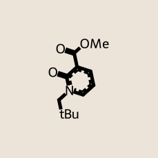 COC(=O)c1cccn(CC(C)(C)C)c1=O